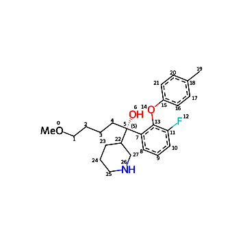 COCCCC[C@@](O)(c1cccc(F)c1Oc1ccc(C)cc1)C1CCCNC1